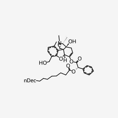 CCCCCCCCCCCCCCCCCC(=O)O[C@H](C(=O)OC1=CC[C@@]2(O)[C@@H](C)N(C)CC[C@@]23c2c(C)ccc(CO)c2O[C@@H]13)c1ccccc1